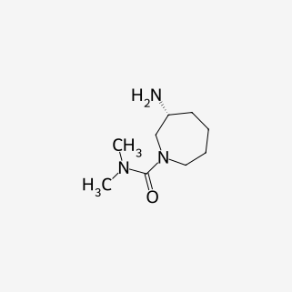 CN(C)C(=O)N1CCCC[C@@H](N)C1